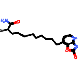 CCC(CCCCCCCCCc1cc[nH]c2nc(=O)oc1-2)C(N)=O